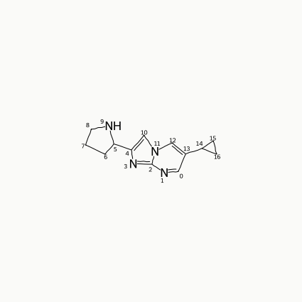 c1nc2nc(C3CCCN3)cn2cc1C1CC1